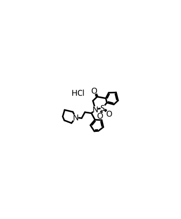 Cl.O=C1CN(C(CCN2CCCCC2)c2ccccc2)S(=O)(=O)c2ccccc21